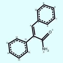 NC(=O)/C(=C\c1ccccc1)c1ccccc1